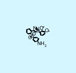 COc1cccc(-n2cc(-c3ccccc3S(=O)(=O)c3ccc(N)cc3)nn2)c1OC